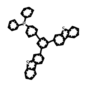 c1ccc(P(c2ccccc2)c2ccc(-c3cc(-c4ccc5c(c4)sc4ccccc45)cc(-c4ccc5c(c4)sc4ccccc45)c3)cc2)cc1